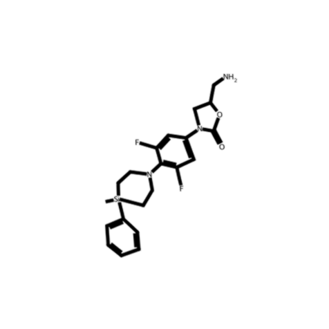 C[Si]1(c2ccccc2)CCN(c2c(F)cc(N3CC(CN)OC3=O)cc2F)CC1